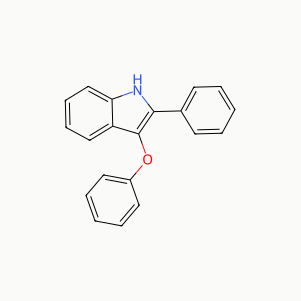 c1ccc(Oc2c(-c3ccccc3)[nH]c3ccccc23)cc1